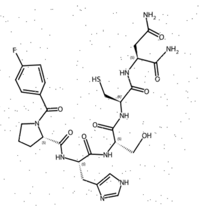 NC(=O)C[C@H](NC(=O)[C@H](CS)NC(=O)[C@H](CO)NC(=O)[C@H](Cc1c[nH]cn1)NC(=O)[C@@H]1CCCN1C(=O)c1ccc(F)cc1)C(N)=O